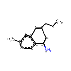 CCCC1Cc2cc(C)ccc2C(N)C1